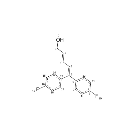 OCC=CC=C(c1ccc(F)cc1)c1ccc(F)cc1